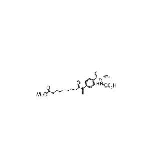 COC(=O)CCCCCCCC(=O)Nc1ccc(C(=O)N(NC(=O)O)C(C)(C)C)cc1